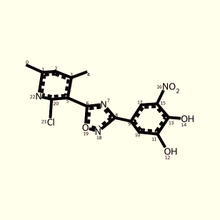 Cc1cc(C)c(-c2nc(-c3cc(O)c(O)c([N+](=O)[O-])c3)no2)c(Cl)n1